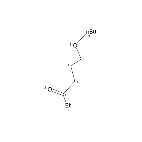 [CH2]CC(=O)CCCOCCCC